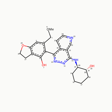 COCc1cc2c(c(O)c1-c1nnc(N[C@@H]3CCCC[C@H]3O)c3cnccc13)CCO2